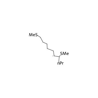 CCCC([CH]CCCCCSC)SC